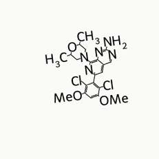 COc1cc(OC)c(Cl)c(-c2cc3cnc(N)nc3c(N3CC(C)OC(C)C3)n2)c1Cl